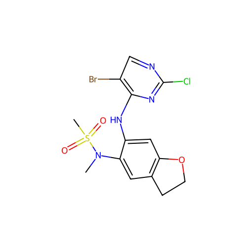 CN(c1cc2c(cc1Nc1nc(Cl)ncc1Br)OCC2)S(C)(=O)=O